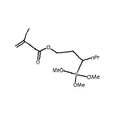 C=C(C)C(=O)OCCC(CCC)[Si](OC)(OC)OC